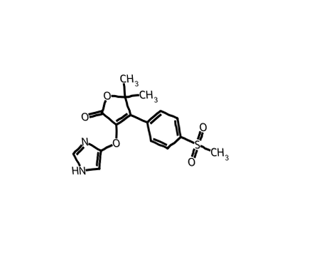 CC1(C)OC(=O)C(Oc2c[nH]cn2)=C1c1ccc(S(C)(=O)=O)cc1